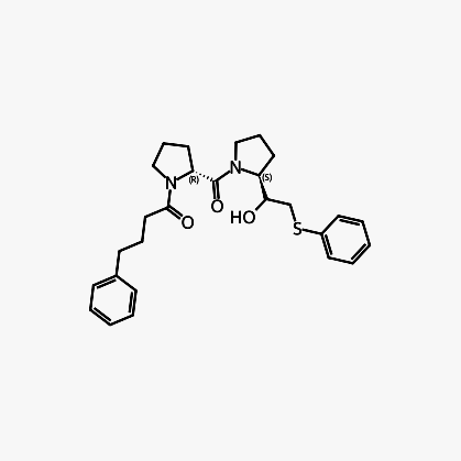 O=C(CCCc1ccccc1)N1CCC[C@@H]1C(=O)N1CCC[C@H]1C(O)CSc1ccccc1